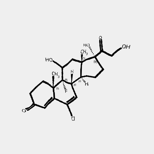 C[C@]12CCC(=O)C=C1C(Cl)=C[C@H]1[C@@H]3CC[C@](O)(C(=O)CO)[C@@]3(C)CC(O)[C@@]12F